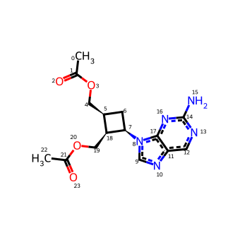 CC(=O)OC[C@H]1C[C@@H](n2cnc3cnc(N)nc32)[C@H]1COC(C)=O